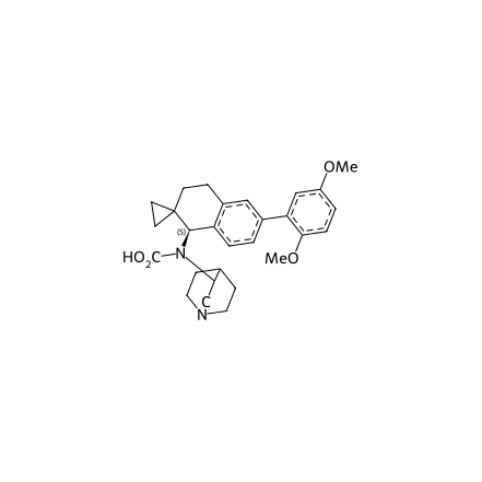 COc1ccc(OC)c(-c2ccc3c(c2)CCC2(CC2)[C@@H]3N(C(=O)O)C2CN3CCC2CC3)c1